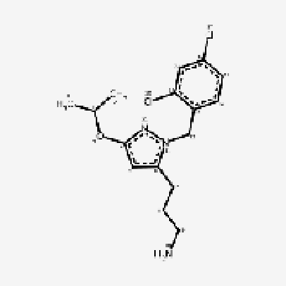 CC(C)Oc1cc(CCCN)n(Cc2ccc(Cl)cc2Cl)n1